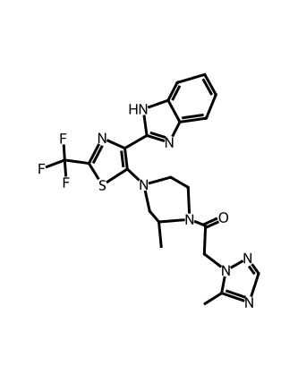 Cc1ncnn1CC(=O)N1CCN(c2sc(C(F)(F)F)nc2-c2nc3ccccc3[nH]2)CC1C